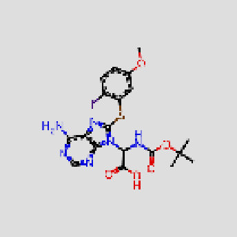 COc1ccc(I)c(Sc2nc3c(N)ncnc3n2C(NC(=O)OC(C)(C)C)C(=O)O)c1